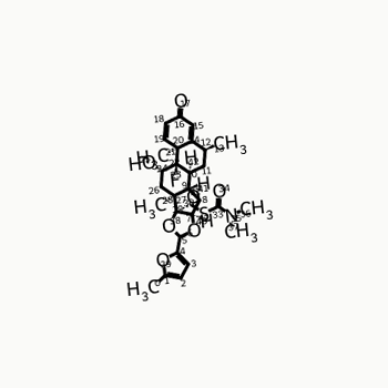 Cc1ccc(C2O[C@@H]3C[C@H]4[C@@H]5C[C@H](C)C6=CC(=O)C=C[C@]6(C)[C@@]5(F)[C@@H](O)C[C@]4(C)[C@]3(C(=O)SC(=O)N(C)C)O2)o1